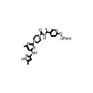 CCC[C@H](C)Oc1ccc([C@H](C)NC(=O)N2CCN(c3nc(C)cc(Nc4cc(C)[nH]n4)n3)CC2)cn1